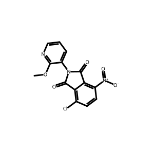 COc1ncccc1N1C(=O)c2c(Cl)ccc([N+](=O)[O-])c2C1=O